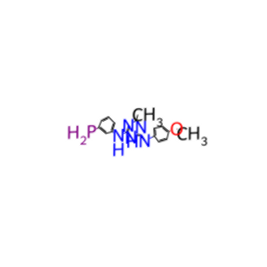 COc1ccc(Nc2nc(C)nc(Nc3cccc(P)c3)n2)cc1